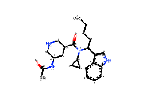 COCCCC(c1c[nH]c2ccccc12)N(C(=O)[C@@H]1CNC[C@H](NC(=O)OCC(C)C)C1)C1CC1